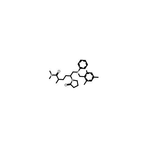 Cc1cc(C)c(CP(CC(CCC(C)C(=O)N(C)C)N2CCCC2=O)c2ccccc2)c(C)c1